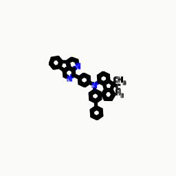 CC1(C)c2ccccc2-c2c(N(c3ccc(-c4ccccc4)cc3)c3ccc(-c4ncc5c6c(ccnc46)-c4ccccc4-5)cc3)cccc21